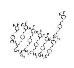 CCC1CCC(CCc2ccc(F)c(F)c2)CC1.CCCC1CCC(CCc2ccc(F)c(F)c2)CC1.CCCCC1CCC(CCc2ccc(F)c(F)c2)CC1.CCCCCC1CCC(CCc2ccc(F)c(F)c2)CC1.CCCCCCC1CCC(CCc2ccc(F)c(F)c2)CC1.CCCCCCCC1CCC(CCc2ccc(F)c(F)c2)CC1.C[C@H]1CC[C@H](CCc2ccc(F)c(F)c2)CC1